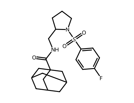 O=C(NCC1CCCN1S(=O)(=O)c1ccc(F)cc1)C12CC3CC(CC(C3)C1)C2